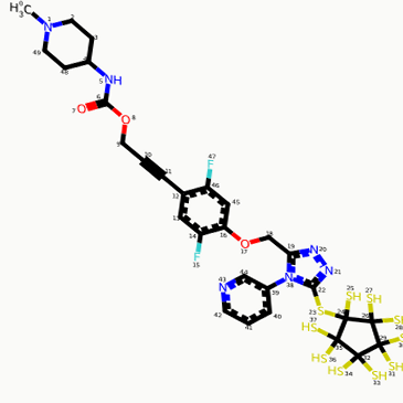 CN1CCC(NC(=O)OCC#Cc2cc(F)c(OCc3nnc(SC4(S)C(S)(S)C(S)(S)C(S)(S)C4(S)S)n3-c3cccnc3)cc2F)CC1